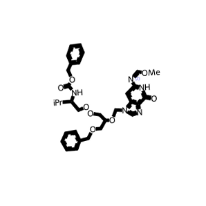 CO/C=N\c1cc2c(ncn2COC(COCc2ccccc2)COOCC(NC(=O)OCc2ccccc2)C(C)C)c(=O)[nH]1